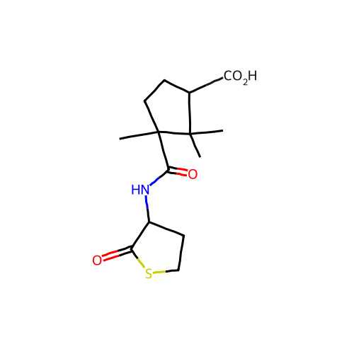 CC1(C(=O)NC2CCSC2=O)CCC(C(=O)O)C1(C)C